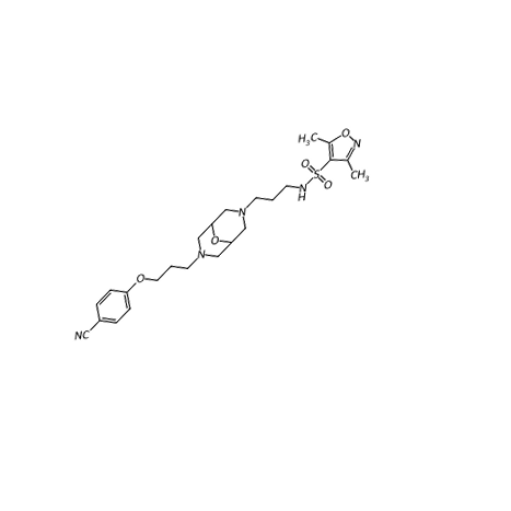 Cc1noc(C)c1S(=O)(=O)NCCCN1CC2CN(CCCOc3ccc(C#N)cc3)CC(C1)O2